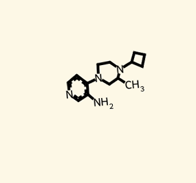 CC1CN(c2ccncc2N)CCN1C1CCC1